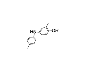 Cc1ccc(Nc2ccc(O)c(C)c2)cc1